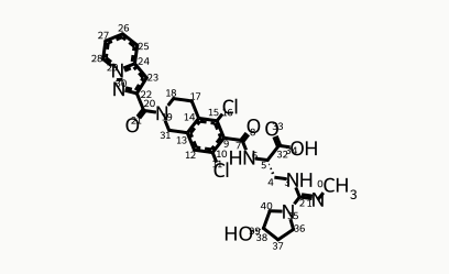 C/N=C(\NC[C@H](NC(=O)c1c(Cl)cc2c(c1Cl)CCN(C(=O)c1cc3ccccn3n1)C2)C(=O)O)N1CC[C@H](O)C1